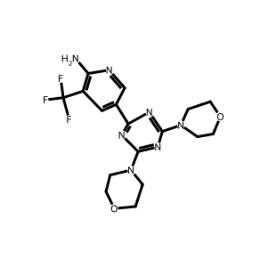 Nc1ncc(-c2nc(N3CCOCC3)nc(N3CCOCC3)n2)cc1C(F)(F)F